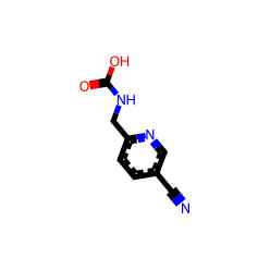 N#Cc1ccc(CNC(=O)O)nc1